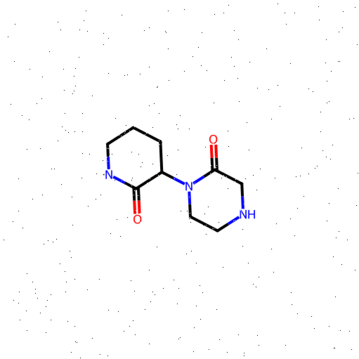 O=C1[N]CCCC1N1CCNCC1=O